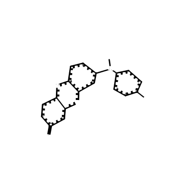 O=c1ccc2nc3ccc(N(I)c4ccc(O)cc4)cc3oc-2c1